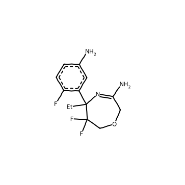 CCC1(c2cc(N)ccc2F)N=C(N)COCC1(F)F